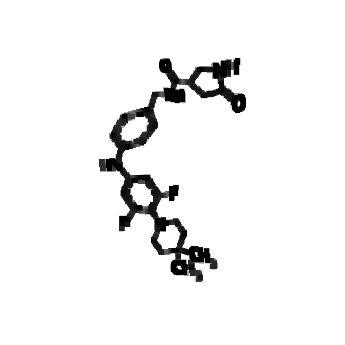 CC1(C)CCN(c2c(F)cc(Nc3ccc(CNC(=O)C4CNC(=O)C4)cc3)cc2F)CC1